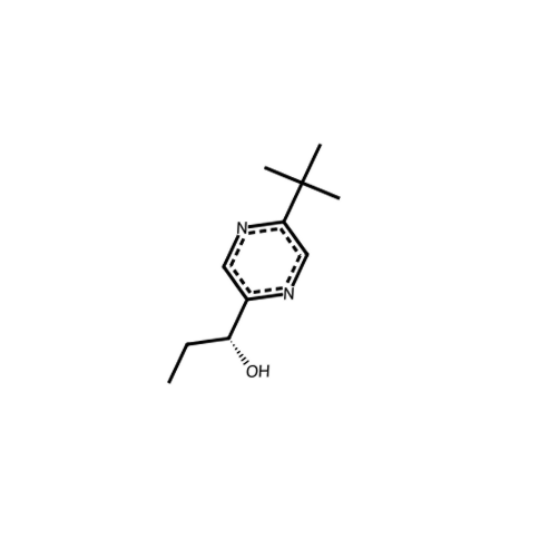 CC[C@@H](O)c1cnc(C(C)(C)C)cn1